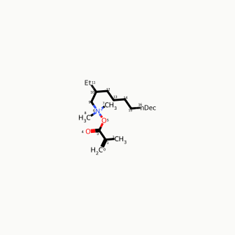 C=C(C)C(=O)O[N+](C)(C)CC(CC)CCCCCCCCCCCCCC